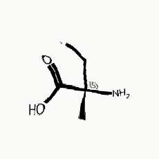 [CH2]C[C@](C)(N)C(=O)O